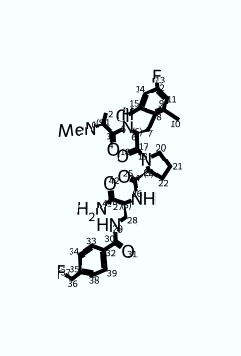 CN[C@@H](C)C(=O)N[C@@H](Cc1c(C)cc(F)cc1Cl)C(=O)N1CCC[C@H]1C(=O)N[C@@H](CNC(=O)c1ccc(CF)cc1)C(N)=O